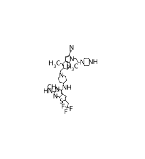 CNc1nc(NC2CCN(Cc3ccc4c(cc(C#N)n4C[C@H](C)N4CCNCC4)c3C)CC2)c2cc(CC(F)(F)F)sc2n1